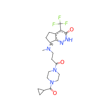 CN(CCC(=O)N1CCN(C(=O)C2CC2)CC1)[C@@H]1CCc2c1n[nH]c(=O)c2C(F)(F)F